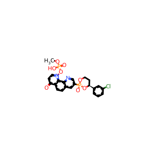 COP(=O)(O)On1ccc(=O)c2ccc3cc(P4(=O)OCC[C@@H](c5cccc(Cl)c5)O4)cnc3c21